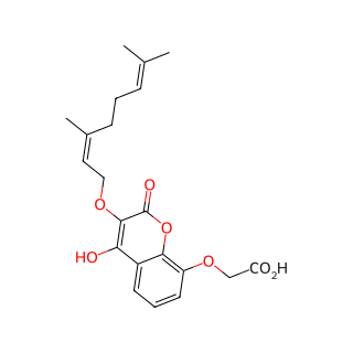 CC(C)=CCCC(C)=CCOc1c(O)c2cccc(OCC(=O)O)c2oc1=O